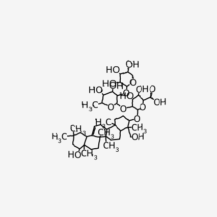 CC1OC(OC2C(OC3CCC4(C)C(CCC5(C)C4CC=C4C6CC(C)(C)CC(O)C6(C)CCC45C)C3(C)CO)OC(C(=O)O)C(O)C2O)C(OC2OCC(O)C(O)C2O)C(O)C1O